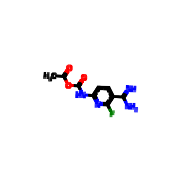 CC(=O)OC(=O)Nc1ccc(C(=N)N)c(F)n1